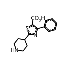 O=C(O)c1sc(C2CCNCC2)nc1-c1ccccc1